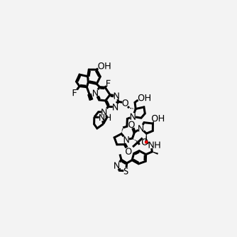 C#Cc1c(F)ccc2cc(O)cc(-c3ncc4c(N5CC6CCC(C5)N6)nc(OC[C@]5(CO)CCCN5CCC[C@H]5CCC(=O)N5[C@H](C(=O)N5C[C@H](O)C[C@H]5C(=O)N[C@@H](C)c5ccc(-c6scnc6C)cc5)C(C)(C)C)nc4c3F)c12